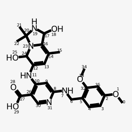 COc1ccc(CNc2cc(NC3=CC(C)=C4C(O)NC(C)(C)N4C3O)c(C(=O)O)cn2)c(OC)c1